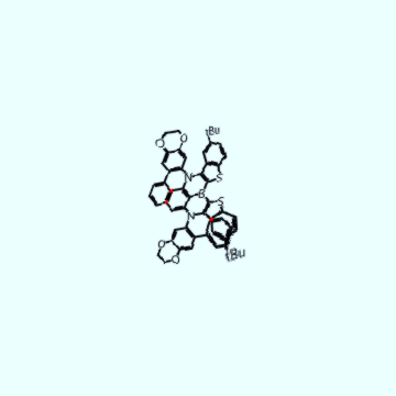 CC(C)(C)c1ccc2sc3c(c2c1)N(c1cc2c(cc1-c1ccccc1)OCCO2)c1cccc2c1B3c1sc3ccc(C(C)(C)C)cc3c1N2c1cc2c(cc1-c1ccccc1)OCCO2